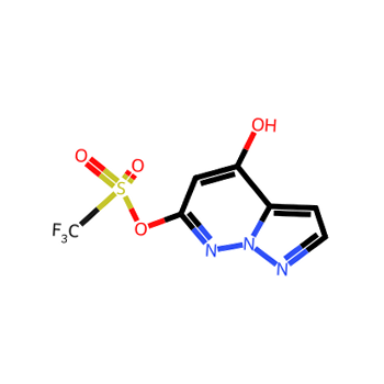 O=S(=O)(Oc1cc(O)c2ccnn2n1)C(F)(F)F